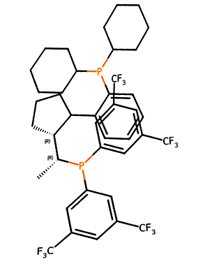 C[C@H]([C@@H]1CCCC1c1ccccc1P(C1CCCCC1)C1CCCCC1)P(c1cc(C(F)(F)F)cc(C(F)(F)F)c1)c1cc(C(F)(F)F)cc(C(F)(F)F)c1